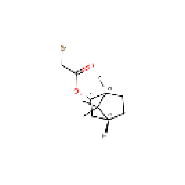 CC1(C)[C@@H]2CC[C@]1(C)[C@@H](OC(=O)CBr)C2